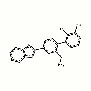 CC(C)(C)c1cccc(-c2ccc(-n3nc4ccccc4n3)cc2CN)c1O